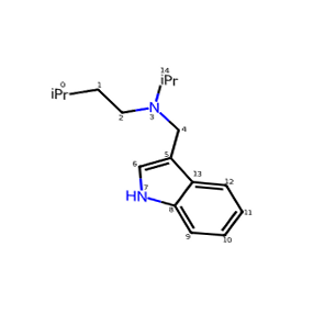 CC(C)CCN(Cc1c[nH]c2ccccc12)C(C)C